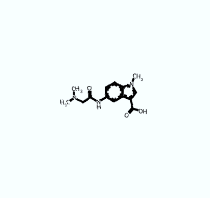 CN(C)CC(=O)Nc1ccc2c(c1)c(C(=O)O)cn2C